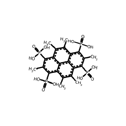 Cc1c(P(=O)(O)O)c2c(C)c(C)c3c(P(=O)(O)O)c(C)c(P(=O)(O)O)c4c(C)c(C)c(c1P(=O)(O)O)c2c34